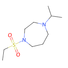 CCS(=O)(=O)N1CCCN(C(C)C)CC1